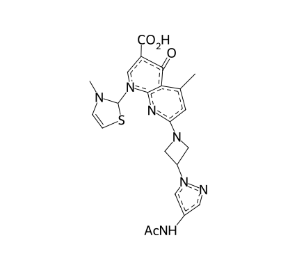 CC(=O)Nc1cnn(C2CN(c3cc(C)c4c(=O)c(C(=O)O)cn(C5SC=CN5C)c4n3)C2)c1